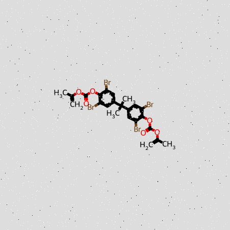 C=C(C)OC(=O)Oc1c(Br)cc(C(C)(C)c2cc(Br)c(OC(=O)OC(=C)C)c(Br)c2)cc1Br